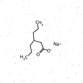 CCCC(CCC)CC(=O)[O-].[Na+]